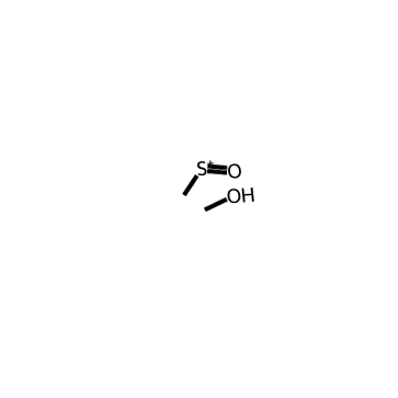 CO.C[S+]=O